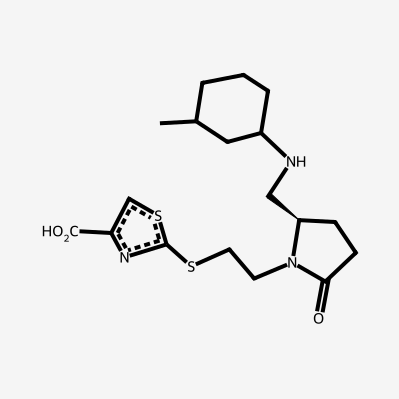 CC1CCCC(NC[C@H]2CCC(=O)N2CCSc2nc(C(=O)O)cs2)C1